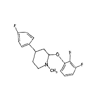 CN1CCC(c2ccc(F)cc2)CC1Oc1cccc(F)c1F